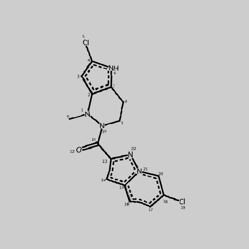 CN1c2cc(Cl)[nH]c2CCN1C(=O)c1cc2ccc(Cl)cn2n1